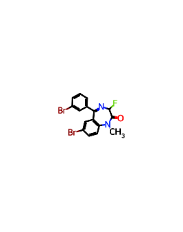 CN1C(=O)C(F)N=C(c2cccc(Br)c2)c2cc(Br)ccc21